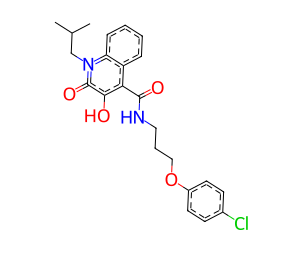 CC(C)Cn1c(=O)c(O)c(C(=O)NCCCOc2ccc(Cl)cc2)c2ccccc21